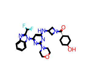 O=C([C@H]1CC[C@H](O)CC1)N1CC(Nc2cc(-n3c(C(F)F)nc4ccccc43)nc(N3CCOCC3)n2)C1